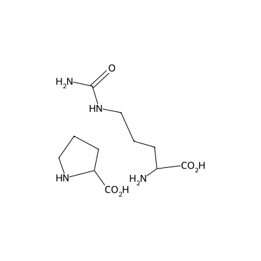 NC(=O)NCCCC(N)C(=O)O.O=C(O)C1CCCN1